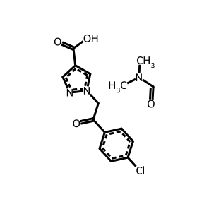 CN(C)C=O.O=C(O)c1cnn(CC(=O)c2ccc(Cl)cc2)c1